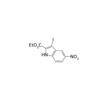 CCOC(=O)c1[nH]c2ccc([N+](=O)[O-])cc2c1I